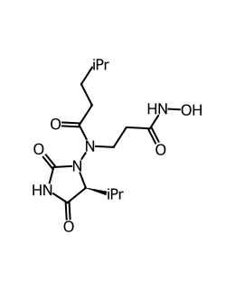 CC(C)CCC(=O)N(CCC(=O)NO)N1C(=O)NC(=O)[C@@H]1C(C)C